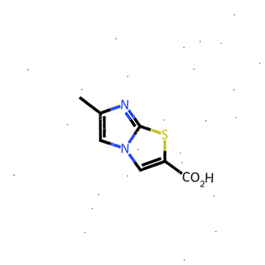 Cc1cn2cc(C(=O)O)sc2n1